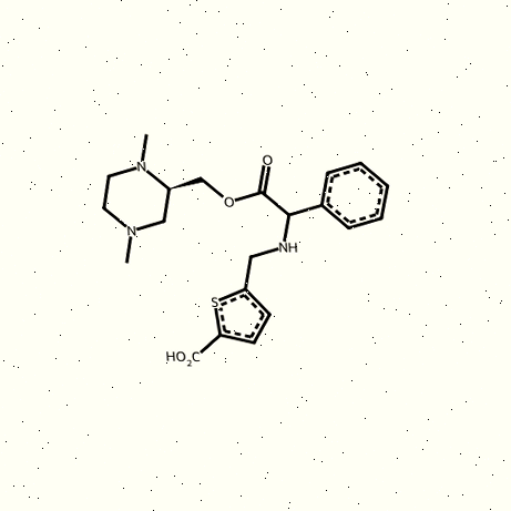 CN1CCN(C)[C@@H](COC(=O)C(NCc2ccc(C(=O)O)s2)c2ccccc2)C1